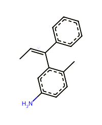 C/C=C(/c1ccccc1)c1cc(N)ccc1C